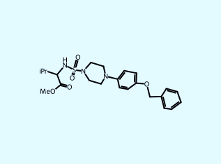 COC(=O)C(NS(=O)(=O)N1CCN(c2ccc(OCc3ccccc3)cc2)CC1)C(C)C